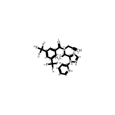 C#CCN(C(=O)c1cc(C(F)(F)F)cc(C(F)(F)F)c1)C(C)c1ncnn1-c1ccccn1